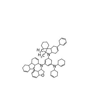 CC1(C)N(C2C=C(N(C3C=CCC4C5CCC=CC5SC43)C3COC4C=CC=CC43)C=C(N(C3C=CCCC3)C3CC=CCC3)C2)C2CC=C(C3C=CC=CC3)CC2C12CCCCC2